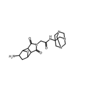 NC1CC2OC1C1C(=O)N(CC(=O)NC34CN5CN(CN(C5)C3)C4)C(=O)C21